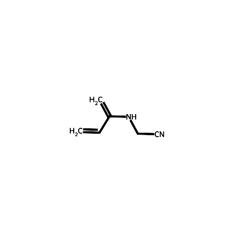 C=CC(=C)NCC#N